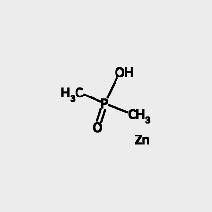 CP(C)(=O)O.[Zn]